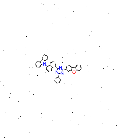 c1ccc(-c2nc(-c3ccc4c(c3)oc3ccccc34)nc(-c3cccc4c(-n5c6ccccc6c6ccccc65)cccc34)n2)cc1